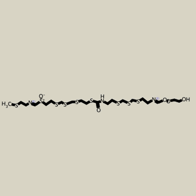 CSCC/N=C/[S+]([O-])CCSCSCSCCSC(=O)NCCSCSCSCC/N=C/OOCCO